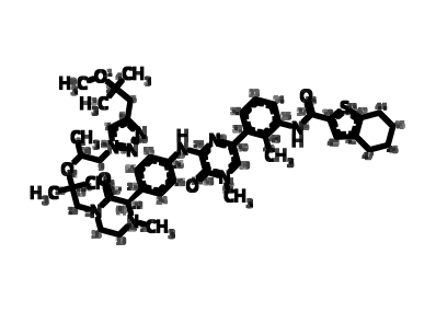 COC(C)(C)Cc1cn(CC(C)OC(C)(C)CN2CCN(C)[C@H](c3ccc(Nc4nc(-c5cccc(NC(=O)c6cc7c(s6)CCCC7)c5C)cn(C)c4=O)cc3)C2=O)nn1